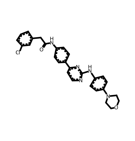 O=C(Cc1cccc(Cl)c1)Nc1ccc(-c2ccnc(Nc3ccc(N4CCOCC4)cc3)n2)cc1